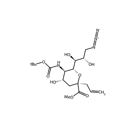 C=CC[C@]1(C(=O)OC)C[C@H](O)[C@@H](NC(=O)OC(C)(C)C)[C@H]([C@@H](O)[C@@H](O)CN=[N+]=[N-])O1